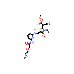 CCOC(=O)C(C#N)=c1sc(=CNc2cccc(NC(=O)COCCOC)n2)c(=O)n1CC